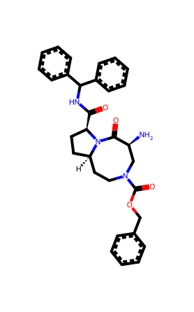 N[C@H]1CN(C(=O)OCc2ccccc2)CC[C@H]2CC[C@@H](C(=O)NC(c3ccccc3)c3ccccc3)N2C1=O